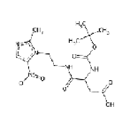 Cc1ncc([N+](=O)[O-])n1CCNC(=O)C(CC(=O)O)NC(=O)OC(C)(C)C